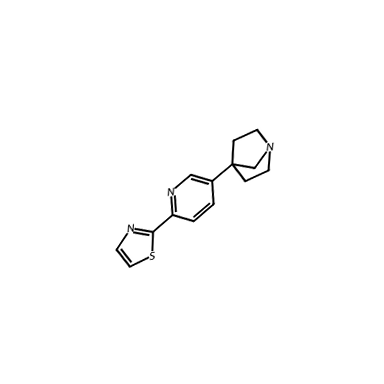 c1csc(-c2ccc(C34CCN(CC3)C4)cn2)n1